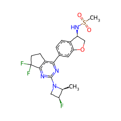 C[C@H]1[C@@H](F)CN1c1nc(-c2ccc3c(c2)OC[C@@H]3NS(C)(=O)=O)c2c(n1)C(F)(F)CC2